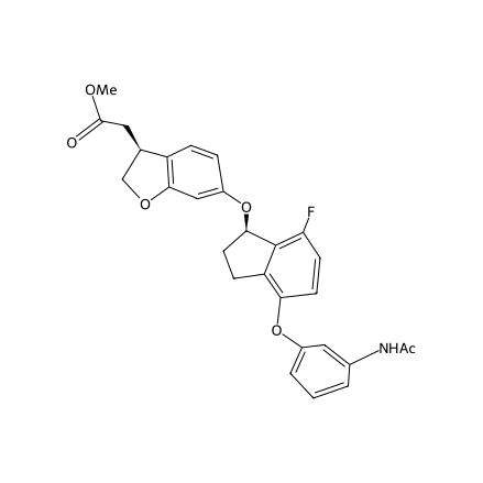 COC(=O)C[C@@H]1COc2cc(O[C@@H]3CCc4c(Oc5cccc(NC(C)=O)c5)ccc(F)c43)ccc21